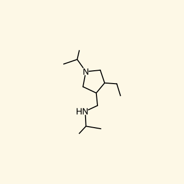 CCC1CN(C(C)C)CC1CNC(C)C